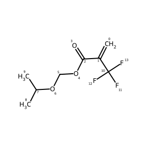 C=C(C(=O)OCOC(C)C)C(F)(F)F